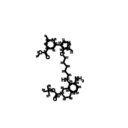 COC(=O)c1cc(C)nc(-c2cnn(C)c2OCCCCCNc2c(N)ccc3c2CN(C(=O)OC(C)(C)C)CC3)c1